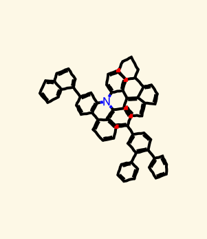 c1ccc(-c2ccc(-c3ccc(N(c4cc(-c5cccc6ccccc56)ccc4-c4ccccc4)c4ccccc4-c4cccc5cccc(C6CCCCC6)c45)cc3)cc2-c2ccccc2)cc1